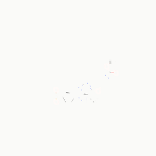 CC(C)OC(=O)N1CCC(Oc2ncnc(Nc3ccc(S(C)(=O)=O)cc3F)c2[N+](=O)[O-])CC1